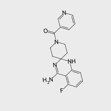 NC1=NC2(CCN(C(=O)c3cccnc3)CC2)Nc2cccc(F)c21